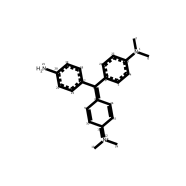 CN(C)c1ccc(C(=C2C=CC(=[N+](C)C)C=C2)c2ccc(N)cc2)cc1